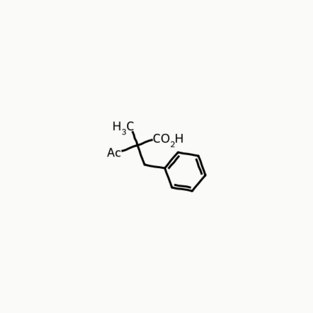 CC(=O)C(C)(Cc1ccccc1)C(=O)O